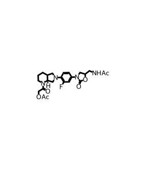 CC(=O)NCC1CN(c2ccc(N3CC4CCCN(C(=O)COC(C)=O)[C@H]4C3)c(F)c2)C(=O)O1